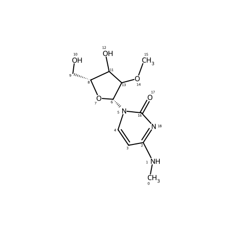 CNc1ccn([C@@H]2O[C@H](CO)C(O)C2OC)c(=O)n1